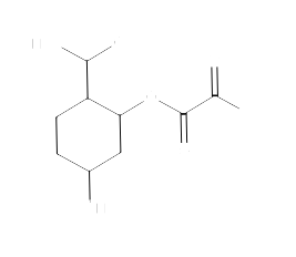 CC1CCC(C(C)C)C(OC(=O)C(=O)O)C1